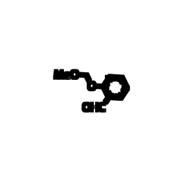 COCOc1[c]cccc1C=O